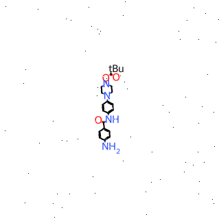 CC(C)(C)C(=O)ON1CCN(c2ccc(NC(=O)c3ccc(N)cc3)cc2)CC1